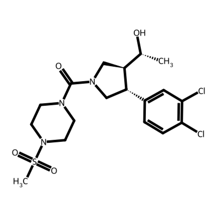 C[C@@H](O)[C@@H]1CN(C(=O)N2CCN(S(C)(=O)=O)CC2)C[C@H]1c1ccc(Cl)c(Cl)c1